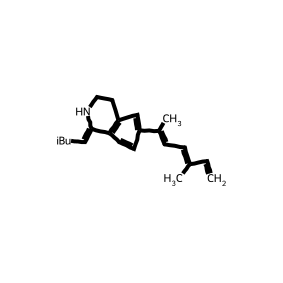 C=C/C(C)=C/C=C(\C)c1ccc2c(c1)CCN/C2=C\C(C)CC